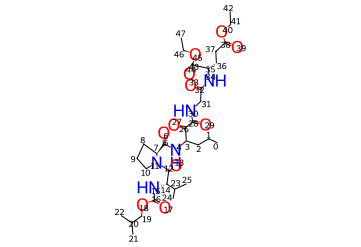 CCCC(NC(=O)[C@@H]1CCCN1C(=O)[C@@H](NC(=O)OCC(C)C)C(C)C)C(=O)C(=O)NCC(=O)N[C@@H](CCC(=O)OCC)C(=O)OCC